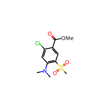 COC(=O)c1cc(S(C)(=O)=O)c(N(C)C)cc1Cl